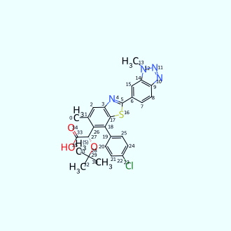 Cc1cc2nc(-c3ccc4nnn(C)c4c3)sc2c(-c2ccc(Cl)cc2)c1[C@H](OC(C)(C)C)C(=O)O